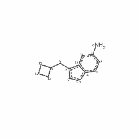 Nc1ccc2scc(CC3CCC3)c2c1